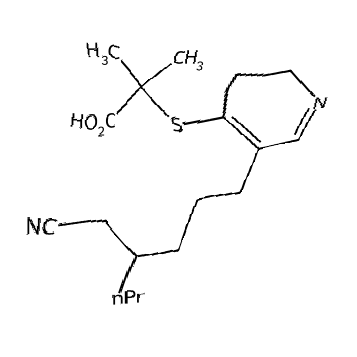 CCCC(CC#N)CCCC1=C(SC(C)(C)C(=O)O)CCN=C1